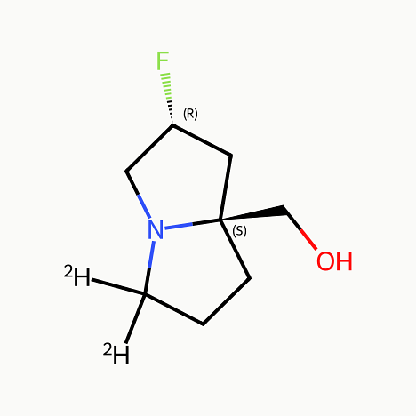 [2H]C1([2H])CC[C@@]2(CO)C[C@@H](F)CN12